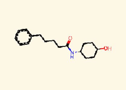 O=C(CCCCc1ccccc1)N[C@H]1CC[C@H](O)CC1